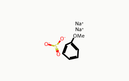 COc1ccccc1.O=S([O-])[O-].[Na+].[Na+]